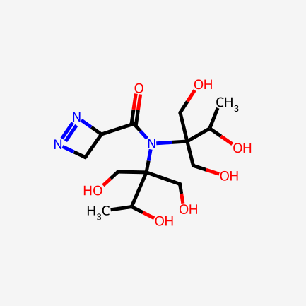 CC(O)C(CO)(CO)N(C(=O)C1CN=N1)C(CO)(CO)C(C)O